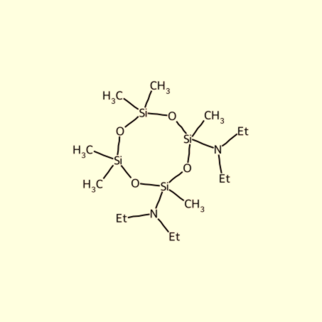 CCN(CC)[Si]1(C)O[Si](C)(C)O[Si](C)(C)O[Si](C)(N(CC)CC)O1